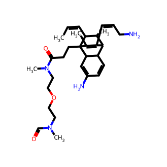 C/C=C\C1C(C)C2C(/C=C\CN)=C(C)C1(CCC(=O)N(C)CCOCCN(C)C=O)C1C=C(N)C=CC21